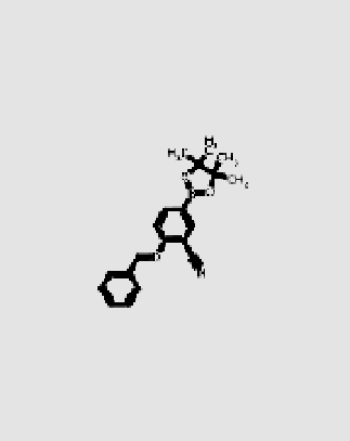 CC1(C)OB(c2ccc(OCc3ccccc3)c(C#N)c2)OC1(C)C